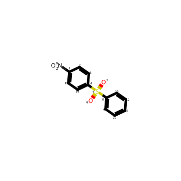 O=[N+]([O-])c1ccc(S(=O)(=O)c2ccccc2)cc1